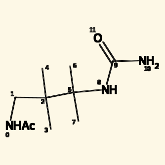 CC(=O)NCC(C)(C)C(C)(C)NC(N)=O